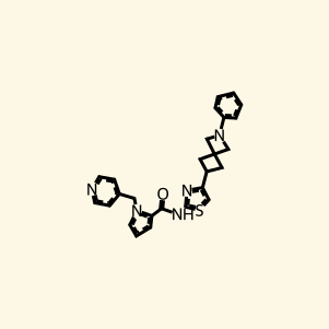 O=C(Nc1nc(C2CC3(C2)CN(c2ccccc2)C3)cs1)c1cccn1Cc1ccncc1